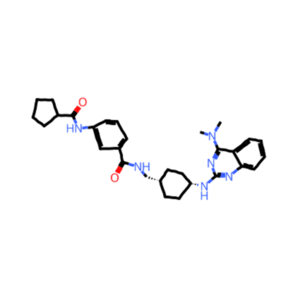 CN(C)c1nc(N[C@H]2CC[C@@H](CNC(=O)c3cccc(NC(=O)C4CCCC4)c3)CC2)nc2ccccc12